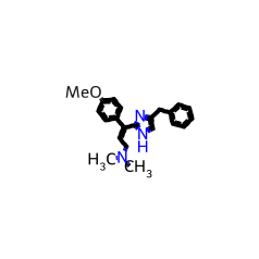 COc1ccc(C(=CCN(C)C)c2nc(Cc3ccccc3)c[nH]2)cc1